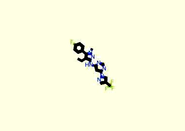 CCc1c(Nc2cc(-n3cc(C(F)(F)F)cn3)ncn2)nn(C)c1-c1ccc(F)cc1